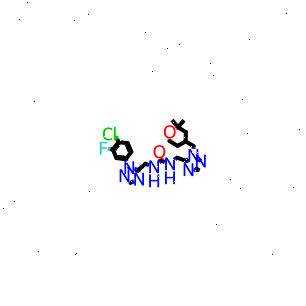 CC1(C)CC(Cn2ncnc2CNC(=O)NCc2ncnn2-c2ccc(Cl)c(F)c2)CCO1